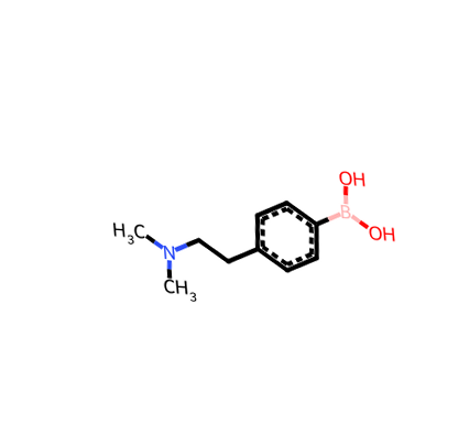 CN(C)CCc1ccc(B(O)O)cc1